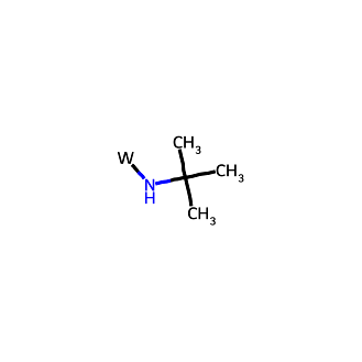 CC(C)(C)[NH][W]